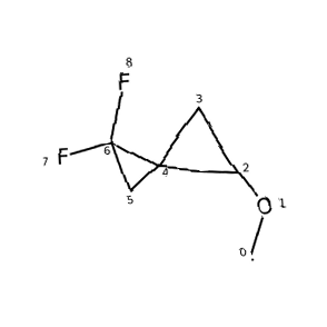 [CH2]OC1CC12CC2(F)F